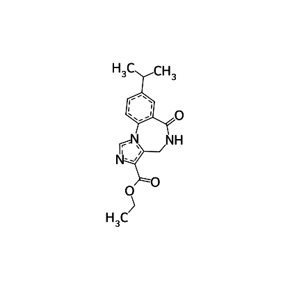 CCOC(=O)c1ncn2c1CNC(=O)c1cc(C(C)C)ccc1-2